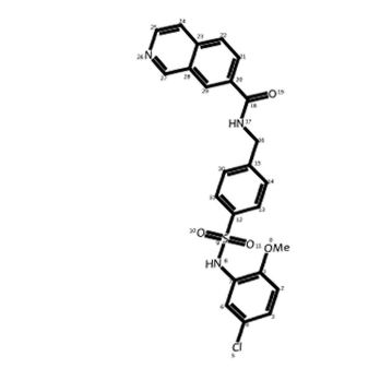 COc1ccc(Cl)cc1NS(=O)(=O)c1ccc(CNC(=O)c2ccc3ccncc3c2)cc1